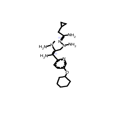 CN(N)/C(CN(N)/N=C(\N)CC1CC1)=C(\N)c1ccc(OC2CCCCC2)cn1